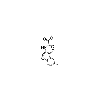 COC(=O)C(=O)Nc1coc2ccc(C)cc2c1=O